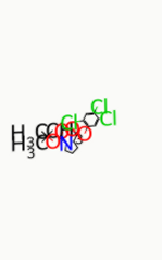 CC(C)(C)OC(=O)N1CCCC1C(=O)Oc1cc(Cl)c(Cl)cc1Cl